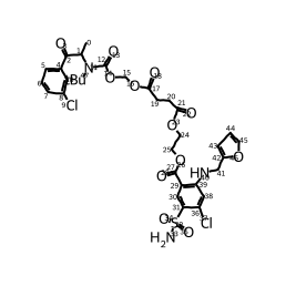 CC(C(=O)c1cccc(Cl)c1)N(C(=O)OCOC(=O)CCC(=O)OCCOC(=O)c1cc(S(N)(=O)=O)c(Cl)cc1NCc1ccco1)C(C)(C)C